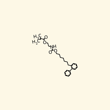 C=C(C)C(=O)OCCNC(=O)OCCCCCCCc1ccccc1-c1ccccc1